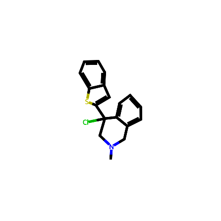 CN1Cc2ccccc2C(Cl)(c2cc3ccccc3s2)C1